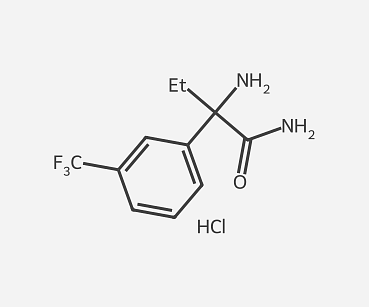 CCC(N)(C(N)=O)c1cccc(C(F)(F)F)c1.Cl